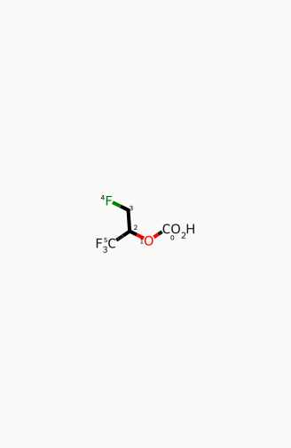 O=C(O)OC(CF)C(F)(F)F